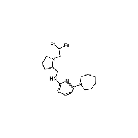 CCC(CC)CN1CCCC1CNc1nccc(N2CCCCCC2)n1